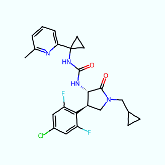 Cc1cccc(C2(NC(=O)N[C@@H]3C(=O)N(CC4CC4)C[C@H]3c3c(F)cc(Cl)cc3F)CC2)n1